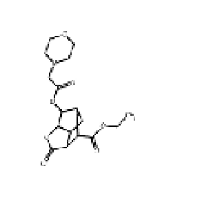 O=C(CN1CCOCC1)OC1C2CC3C1OC(=O)C3C2C(=O)OCC(F)(F)F